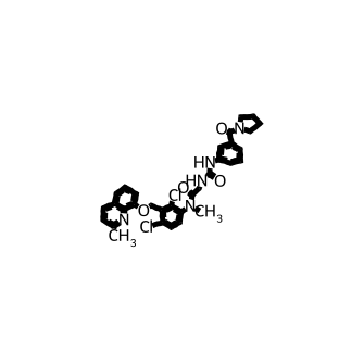 Cc1ccc2cccc(OCc3c(Cl)ccc(N(C)C(=O)CNC(=O)Nc4cccc(C(=O)N5CCCC5)c4)c3Cl)c2n1